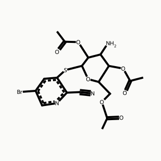 CC(=O)OCC1OC(Sc2cc(Br)cnc2C#N)C(OC(C)=O)C(N)C1OC(C)=O